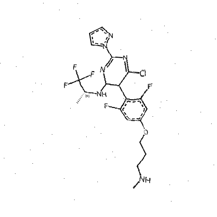 CNCCCOc1cc(F)c(C2C(Cl)=NC(n3cccn3)=NC2N[C@H](C)C(F)(F)F)c(F)c1